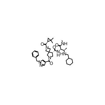 CNC(=O)[C@@H](NC(=O)[C@@H]1CN(C(=O)c2cnn(Cc3ccccc3)c2)CC12CN(C(=O)[C@H]1CC1(C)C)C2)[C@@H](C)NCC1CCCCC1